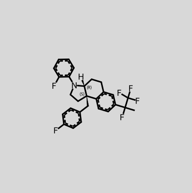 CC(F)(c1ccc2c(c1)CC[C@H]1N(c3ccccc3F)CC[C@@]21Cc1ccc(F)cc1)C(F)(F)F